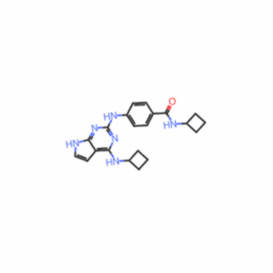 O=C(NC1CCC1)c1ccc(Nc2nc(NC3CCC3)c3cc[nH]c3n2)cc1